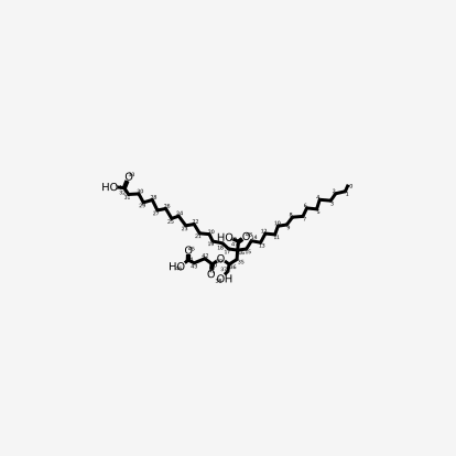 CCCCCCCCCCCCCCCCC(CCCCCCCCCCCCCCCC(=O)O)(CC(CO)OC(=O)CCC(=O)O)C(=O)O